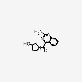 Nc1nc(C(=O)N2CCC(O)C2)c2ccccc2n1